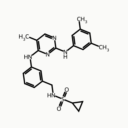 Cc1cc(C)cc(Nc2ncc(C)c(Nc3cccc(CNS(=O)(=O)C4CC4)c3)n2)c1